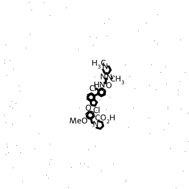 COc1cc(OC2CCc3c(-c4cccc(NC(=O)c5nc6c(n5C)CCN(C)C6)c4Cl)cccc32)c(Cl)cc1CN1CCCCC1C(=O)O